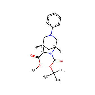 COC(=O)[C@H]1[C@H]2C[C@H](CN(c3ccccc3)C2)N1C(=O)OC(C)(C)C